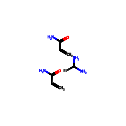 C=CC(N)=O.C=CC(N)=O.CCC(N)N